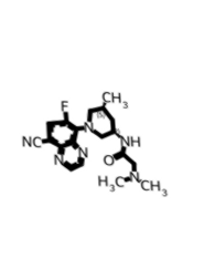 C[C@H]1C[C@@H](NC(=O)CN(C)C)CN(c2c(F)cc(C#N)c3nccnc23)C1